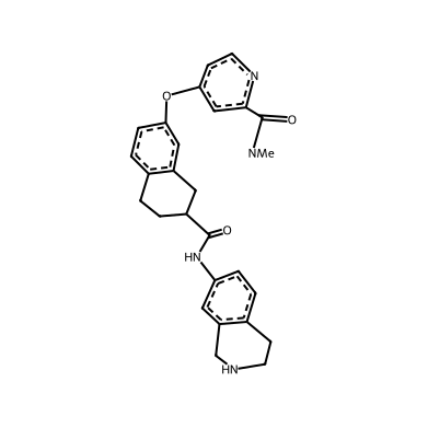 CNC(=O)c1cc(Oc2ccc3c(c2)CC(C(=O)Nc2ccc4c(c2)CNCC4)CC3)ccn1